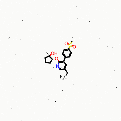 C[C@@]1(O)CCC[C@H]1Oc1ncc(CC(F)(F)F)cc1-c1ccc(S(C)(=O)=O)cc1